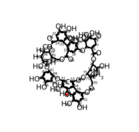 C[C@@H]1C2OC(=O)C3=CC(=O)C(O)(O)C4(O)Oc5c(cc6c(c5O)-c5c(cc(O)c(O)c5O)C(=O)OC5[C@@H](C)[C@@H](OOc7cc(O)c(O)c(O)c7Oc7cc8c(c(O)c7O)-c7c(cc(O)c(O)c7O)OOCC(OC2O)[C@H]1OO8)C(O)O[C@@H]5COC6=O)OC34